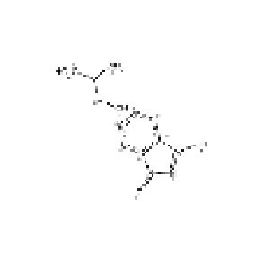 NC(CO)C(=O)O.O=C1N=C(O)c2ccccc21